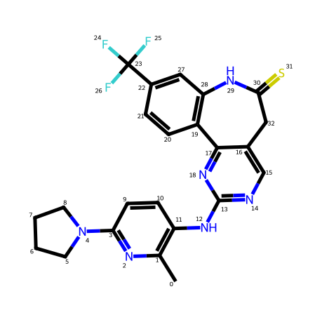 Cc1nc(N2CCCC2)ccc1Nc1ncc2c(n1)-c1ccc(C(F)(F)F)cc1NC(=S)C2